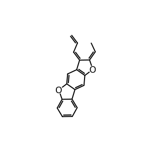 C=C/C=c1\c(=C/C)oc2cc3c(cc12)oc1ccccc13